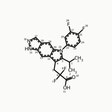 CC(C)c1c(CC(F)(F)C(=O)O)c2cc3[nH]ncc3cc2n1-c1ccc(F)c(F)c1